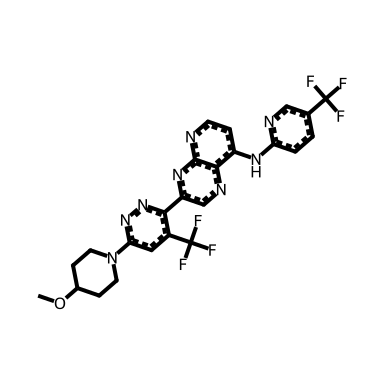 COC1CCN(c2cc(C(F)(F)F)c(-c3cnc4c(Nc5ccc(C(F)(F)F)cn5)ccnc4n3)nn2)CC1